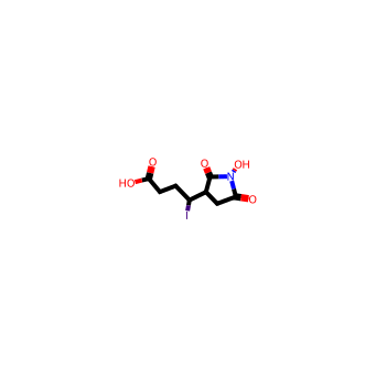 O=C(O)CCC(I)C1CC(=O)N(O)C1=O